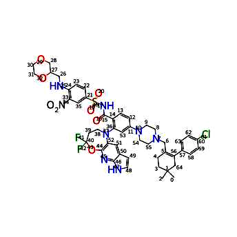 CC1(C)CCC(CN2CCN(c3ccc(C(=O)NS(=O)(=O)c4ccc(NCC5COCCO5)c([N+](=O)[O-])c4)c(N4CCC(F)(F)Oc5nc6[nH]ccc6cc54)c3)CC2)=C(c2ccc(Cl)cc2)C1